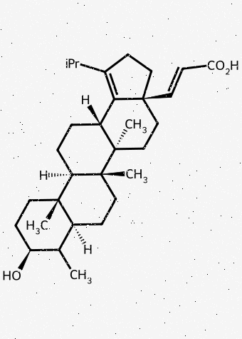 CC(C)C1=C2[C@H]3CC[C@@H]4[C@@]5(C)CC[C@H](O)C(C)[C@@H]5CC[C@@]4(C)[C@]3(C)CC[C@@]2(/C=C/C(=O)O)CC1